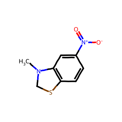 CN1CSc2ccc([N+](=O)[O-])cc21